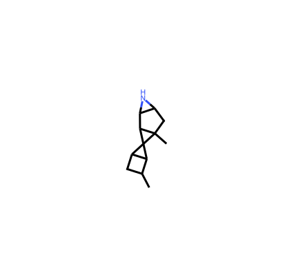 CC1CC2C1C21C2C3NC3CC21C